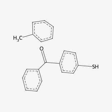 Cc1ccccc1.O=C(c1ccccc1)c1ccc(S)cc1